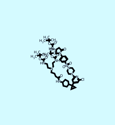 CC(C)(C)OC(=O)NCCN(CCCC(=O)NC1CCC(C2(c3cc(Cl)nc(N4CCN(S(=O)(=O)c5ccc(N6C[C@H](NC(=O)OC(C)(C)C)CC6=O)cc5)CC4)c3)CC2)CC1)CCNC(=O)OC(C)(C)C